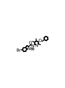 Cc1nc(NC(=O)c2cc3cc(Br)ccc3[nH]2)c(C)c(C)c1OCc1ccccc1